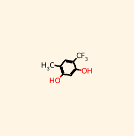 Cc1cc(C(F)(F)F)c(O)cc1O